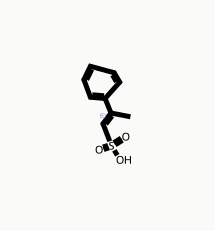 C/C(=C\S(=O)(=O)O)c1ccccc1